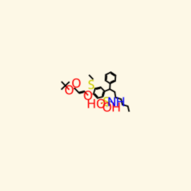 CCCCC1CC(c2ccccc2)c2cc(SCC)c(O/C=C/C(=O)OC(C)(C)C)cc2S(O)(O)N1